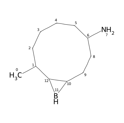 CC1CCCCC(N)CCC2BC12